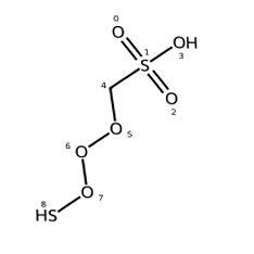 O=S(=O)(O)COOOS